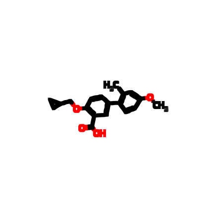 COc1ccc(-c2ccc(OCC3CC3)c(C(=O)O)c2)c(C)c1